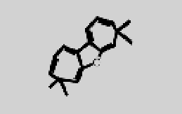 CC1(C)C=CC=c2c(oc3c2=CC=CC(C)(C)C=3)=C1